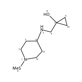 CSN1CCC(NCC2(O)CC2)CC1